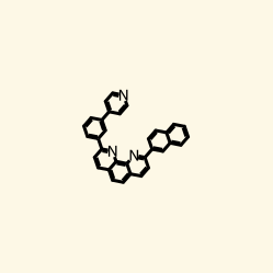 c1cc(-c2ccncc2)cc(-c2ccc3ccc4ccc(-c5ccc6ccccc6c5)nc4c3n2)c1